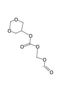 O=[C]OCOC(=O)OC1COCOC1